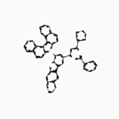 c1ccc(-c2cc(-c3cc(-n4c5ccc6ccccc6c5c5c6ccccc6ccc54)c4oc5cc6ccccc6cc5c4c3)nc(-c3ccccc3)n2)cc1